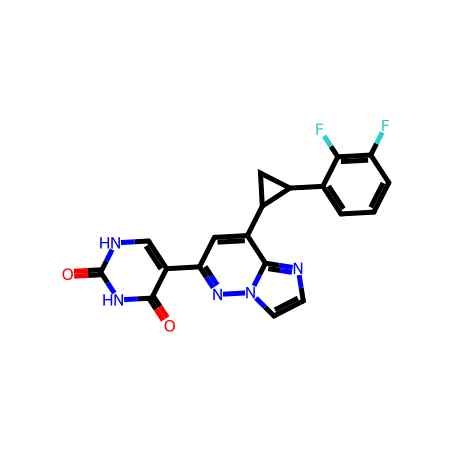 O=c1[nH]cc(-c2cc(C3CC3c3cccc(F)c3F)c3nccn3n2)c(=O)[nH]1